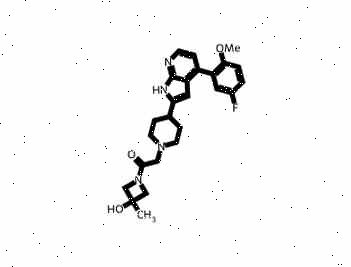 COc1ccc(F)cc1-c1ccnc2[nH]c(C3CCN(CC(=O)N4CC(C)(O)C4)CC3)cc12